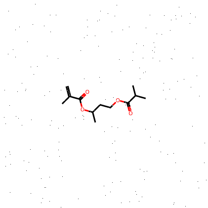 C=C(C)C(=O)OC(C)CCOC(=O)C(C)C